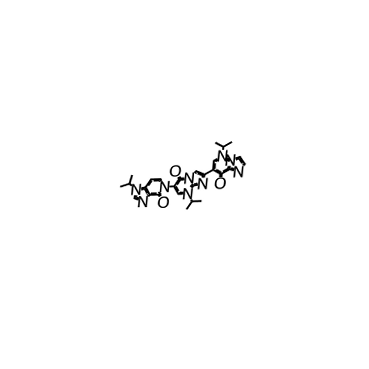 CC(C)n1cnc2c(=O)n(-c3cn(C(C)C)c4nc(-c5cn(C(C)C)n6ccnc6c5=O)cn4c3=O)ccc21